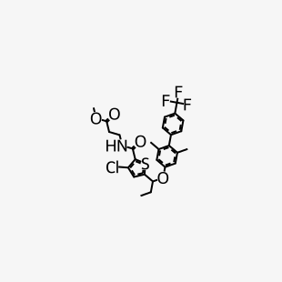 CCC(Oc1cc(C)c(-c2ccc(C(F)(F)F)cc2)c(C)c1)c1cc(Cl)c(C(=O)NCCC(=O)OC)s1